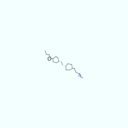 C/C=C/CC[C@H]1CC[C@H](CC[C@H]2CC[C@H](OCCC)CC2)CC1